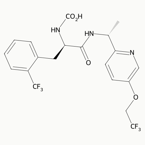 C[C@@H](NC(=O)[C@@H](Cc1ccccc1C(F)(F)F)NC(=O)O)c1ccc(OCC(F)(F)F)cn1